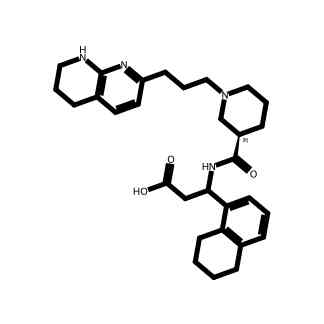 O=C(O)CC(NC(=O)[C@@H]1CCCN(CCCc2ccc3c(n2)NCCC3)C1)c1cccc2c1CCCC2